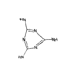 [NH]c1nc([NH])nc([NH])n1